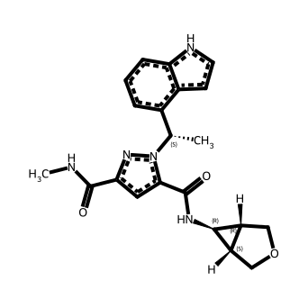 CNC(=O)c1cc(C(=O)N[C@H]2[C@@H]3COC[C@@H]32)n([C@@H](C)c2cccc3[nH]ccc23)n1